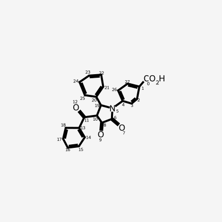 O=C(O)c1ccc(N2C(=O)C(=O)C(C(=O)c3ccccc3)C2c2ccccc2)cc1